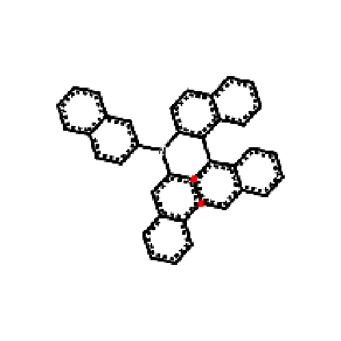 c1ccc2cc(N(c3ccc4ccccc4c3)c3ccc4ccccc4c3-c3cccc4ccccc34)ccc2c1